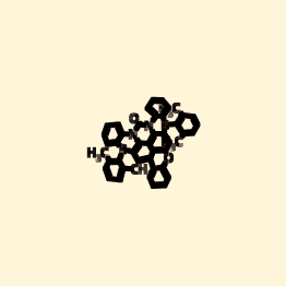 Cc1cccc(C)c1B1c2ccccc2N2C(=O)N3c4ccccc4B(c4c(C)cccc4C)c4cc5c6c(cc1c2c6c43)Oc1ccccc1-5